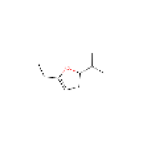 CCC1=CCC(C(C)C)O1